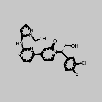 CCn1nccc1Nc1nccc(-c2ccn([C@H](CO)c3ccc(F)c(Cl)c3)c(=O)c2)n1